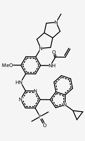 C=CC(=O)Nc1cc(Nc2ncc(P(C)(C)=O)c(-c3cn(C4CC4)c4ccccc34)n2)c(OC)cc1N1CC2CN(C)CC2C1